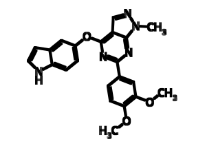 COc1ccc(-c2nc(Oc3ccc4[nH]ccc4c3)c3cnn(C)c3n2)cc1OC